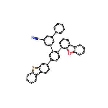 N#Cc1cc(-c2ccccc2)cc(-c2cc(-c3ccc4c(c3)sc3ccccc34)ccc2-c2cccc3c2oc2ccccc23)c1